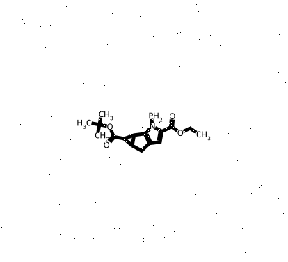 CCOC(=O)c1cc2c(n1P)C1C(C2)C1C(=O)OC(C)(C)C